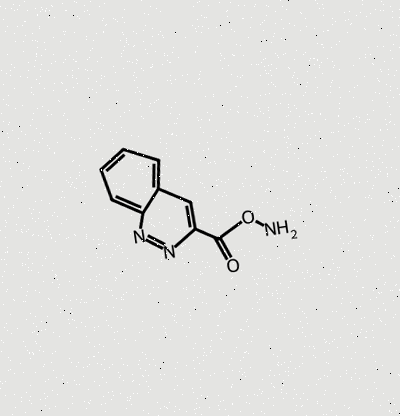 NOC(=O)c1cc2ccccc2nn1